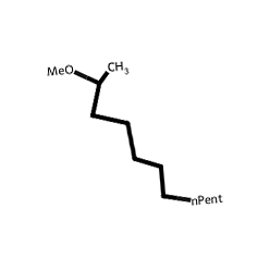 CCCCCCCCCCC(C)OC